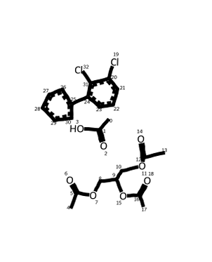 CC(=O)O.CC(=O)OCC(COC(C)=O)OC(C)=O.Clc1cccc(-c2ccccc2)c1Cl